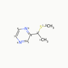 CSC(C)c1cnccn1